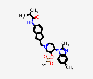 Cc1ccc2c(c1)nc(C)n2C1CCN(CC2Cc3ccc(NC(=O)C(C)C)cc3C2)CC1OS(C)(=O)=O